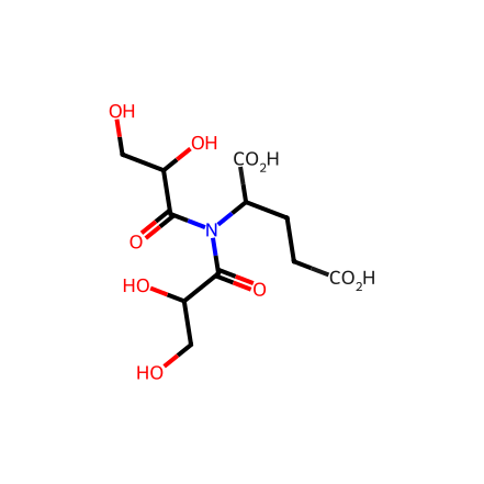 O=C(O)CCC(C(=O)O)N(C(=O)C(O)CO)C(=O)C(O)CO